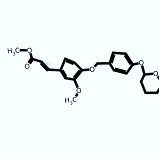 COC(=O)/C=C/c1ccc(OCc2ccc(OC3CCCCO3)cc2)c(OC)c1